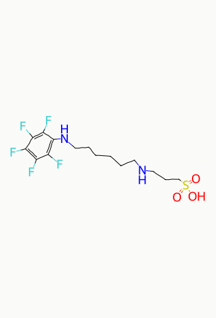 O=S(=O)(O)CCCNCCCCCCNc1c(F)c(F)c(F)c(F)c1F